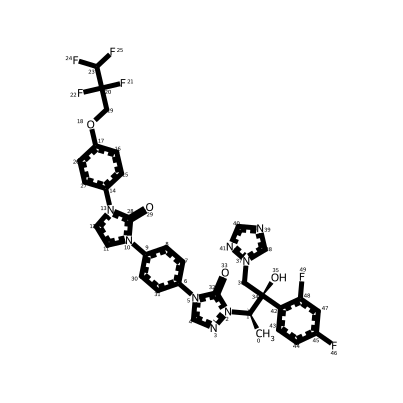 C[C@@H](n1ncn(-c2ccc(-n3ccn(-c4ccc(OCC(F)(F)C(F)F)cc4)c3=O)cc2)c1=O)[C@](O)(Cn1cncn1)c1ccc(F)cc1F